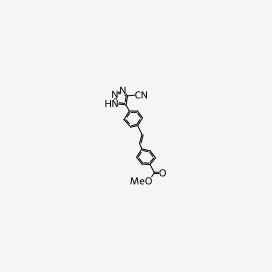 COC(=O)c1ccc(C=Cc2ccc(-c3[nH]nnc3C#N)cc2)cc1